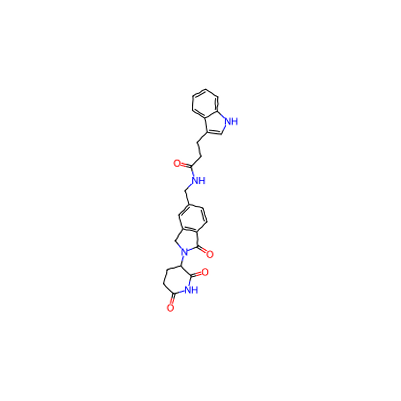 O=C(CCc1c[nH]c2ccccc12)NCc1ccc2c(c1)CN(C1CCC(=O)NC1=O)C2=O